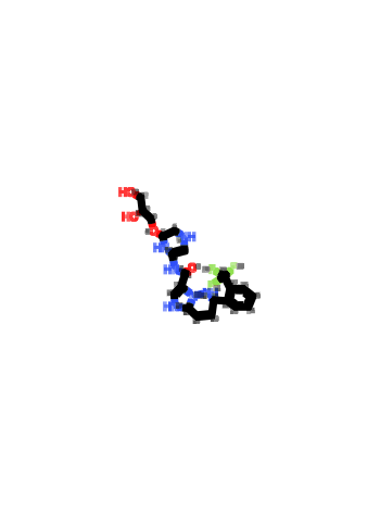 O=C(NC1=CNCC(OC[C@@H](O)CO)N1)C1=CNC2C=CC(c3ccccc3C(F)(F)F)NN12